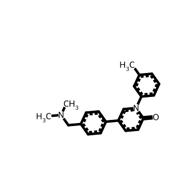 Cc1cccc(-n2cc(-c3ccc(CN(C)C)cc3)ccc2=O)c1